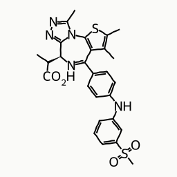 Cc1sc2c(c1C)C(c1ccc(Nc3cccc(S(C)(=O)=O)c3)cc1)=N[C@@H](C(C)C(=O)O)c1nnc(C)n1-2